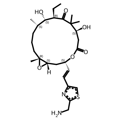 CC[C@H]1C(=O)C(C)(C)[C@@H](O)CC(=O)O[C@H](C=Cc2csc(CN)n2)C[C@@H]2O[C@]2(C)CCC[C@H](C)[C@@H]1O